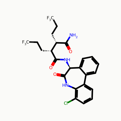 NC(=O)[C@@H](CCC(F)(F)F)[C@@H](CCC(F)(F)F)C(=O)N[C@@H]1C(=O)Nc2c(Cl)cccc2-c2ccccc21